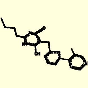 CCCCc1nc(=O)c(Cc2cccc(-c3ccncc3C)c2)c(O)[nH]1